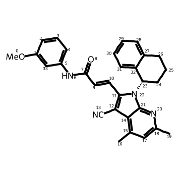 COc1cccc(NC(=O)/C=C/c2c(C#N)c3c(C)cc(C)nc3n2[C@H]2CCCc3ccccc32)c1